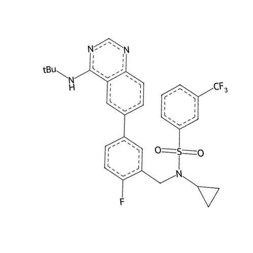 CC(C)(C)Nc1ncnc2ccc(-c3ccc(F)c(CN(C4CC4)S(=O)(=O)c4cccc(C(F)(F)F)c4)c3)cc12